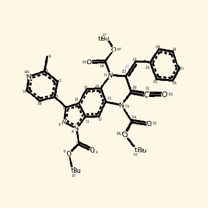 Cc1cc(-c2nn(C(=O)OC(C)(C)C)c3cc4c(cc23)N(C(=O)OC(C)(C)C)/C(=C/c2ccccc2)C(=C=O)N4C(=O)OC(C)(C)C)ccn1